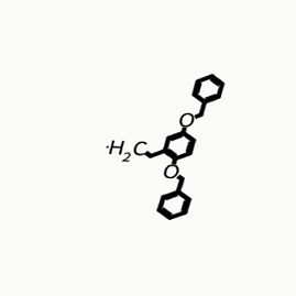 [CH2]Cc1cc(OCc2ccccc2)ccc1OCc1ccccc1